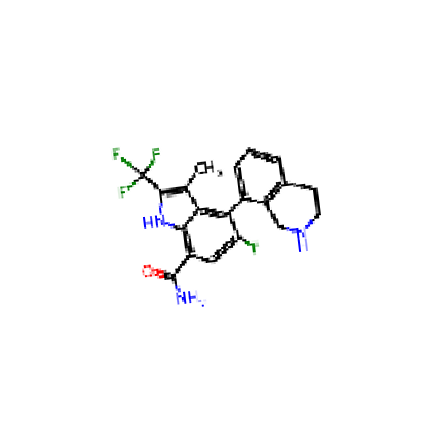 Cc1c(C(F)(F)F)[nH]c2c(C(N)=O)cc(F)c(-c3cccc4c3CNCC4)c12